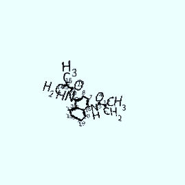 C=C(C)C(=O)Nc1ccc(NC(=O)C(=C)C)c2ccccc12